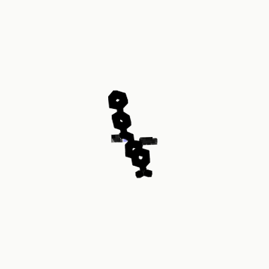 COc1c(/C=C(\C#N)c2ccc(-c3ccccc3)cc2)ccc2cc(N(C)C)ccc12